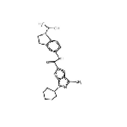 CB(O)N1CCc2cc(NC(=O)c3cc4c(C)nn(C5CCCCC5)c4s3)ccc21